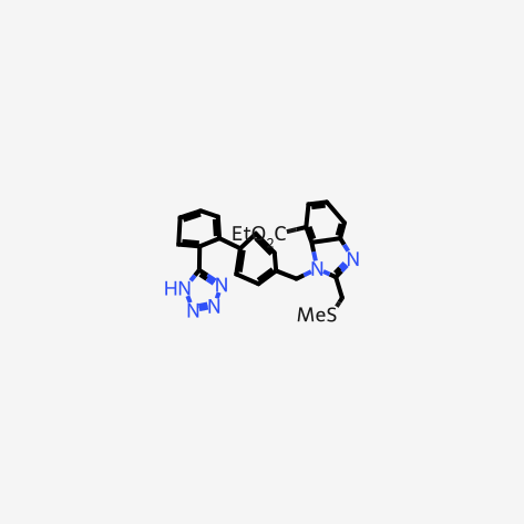 CCOC(=O)c1cccc2nc(CSC)n(Cc3ccc(-c4ccccc4-c4nnn[nH]4)cc3)c12